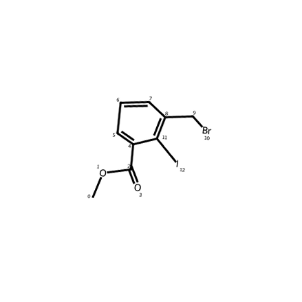 COC(=O)c1cccc(CBr)c1I